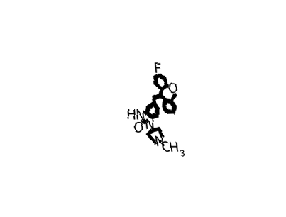 CN1CCC(n2c(=O)[nH]c3cc(/C=C4\c5ccccc5COC5C=C(F)C=CC45)ccc32)CC1